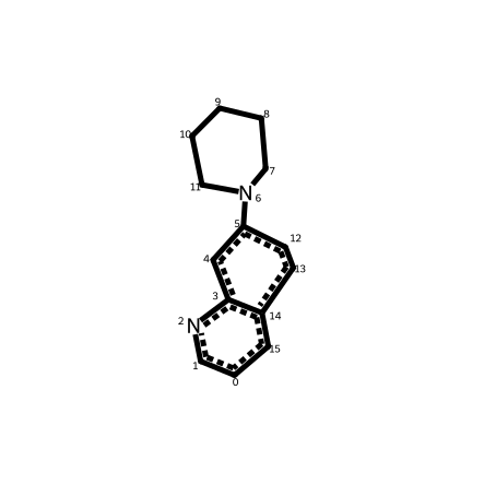 c1cnc2cc(N3CCCCC3)ccc2c1